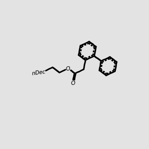 CCCCCCCCCCCCOC(=O)Cc1ccccc1-c1ccccc1